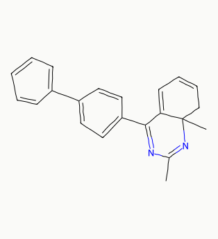 CC1=NC2(C)CC=CC=C2C(c2ccc(-c3ccccc3)cc2)=N1